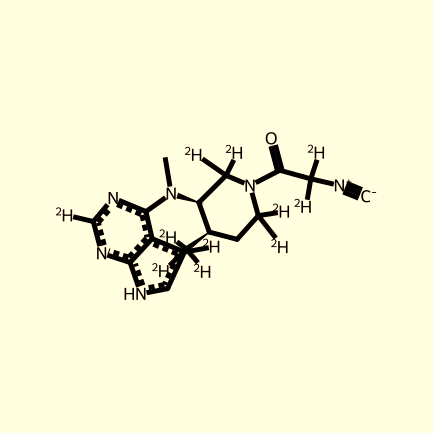 [2H]c1nc(N(C)[C@@H]2[C@H](C([2H])([2H])[2H])CC([2H])([2H])N(C(=O)C([2H])([2H])[N+]#[C-])C2([2H])[2H])c2c([2H])c[nH]c2n1